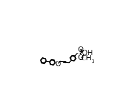 CO[C@@H](Cc1ccc(CC#CCOc2ccc(-c3ccccc3)cc2)cc1)C(=O)O